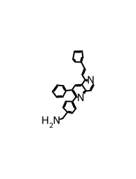 NCc1ccc(-c2nc3ccnc(C=Cc4ccccc4)c3cc2-c2ccccc2)cc1